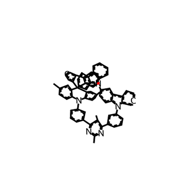 Cc1ccc2c(c1)C1(c3ccccc3-c3ccccc31)c1cc(C)ccc1N2c1cccc(-c2nc(C)nc(-c3cccc(-n4c5ccccc5c5cc(-n6c7ccccc7c7ccccc76)ccc54)c3)c2C)c1